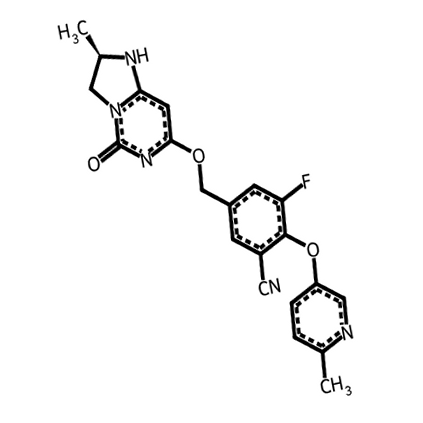 Cc1ccc(Oc2c(F)cc(COc3cc4n(c(=O)n3)C[C@@H](C)N4)cc2C#N)cn1